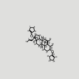 CC=CC1(OC2=CCCC2)CC[C@H]2[C@@H]3CC(C)=C4C(C)C(OC5=CCCC5)CC[C@]4(C=O)[C@@H]3CC[C@@]21C